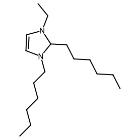 CCCCCCC1N(CC)C=CN1CCCCCC